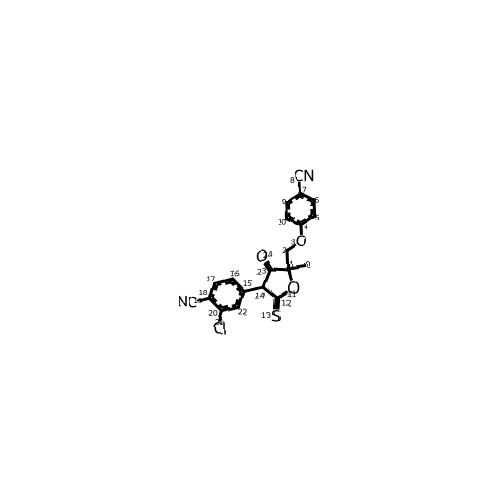 CC1(COc2ccc(C#N)cc2)OC(=S)C(c2ccc(C#N)c(Cl)c2)C1=O